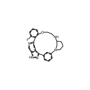 Fc1cccc2c1-c1cc3c(n[nH]c3cn1)-c1cccc(c1)N1CCCC(C1)NCCO2